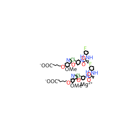 COc1cc2c(Oc3ccc(NC(=O)C4(C(=O)Nc5ccc(F)cc5)CC4)cc3Cl)ccnc2cc1OCCCCCC(=O)[O-].COc1cc2c(Oc3ccc(NC(=O)C4(C(=O)Nc5ccc(F)cc5)CC4)cc3Cl)ccnc2cc1OCCCCCC(=O)[O-].[Mg+2]